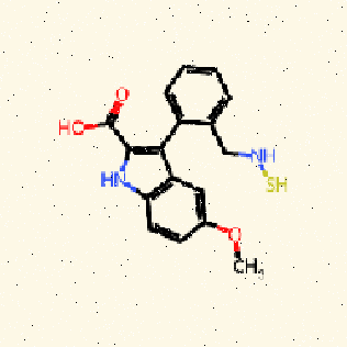 COc1ccc2[nH]c(C(=O)O)c(-c3ccccc3CNS)c2c1